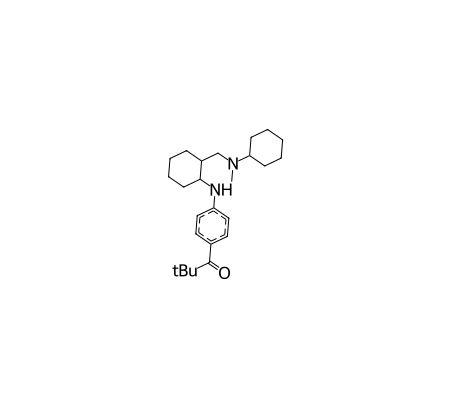 CN(CC1CCCCC1Nc1ccc(C(=O)C(C)(C)C)cc1)C1CCCCC1